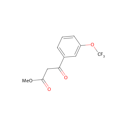 COC(=O)CC(=O)c1cccc(OC(F)(F)F)c1